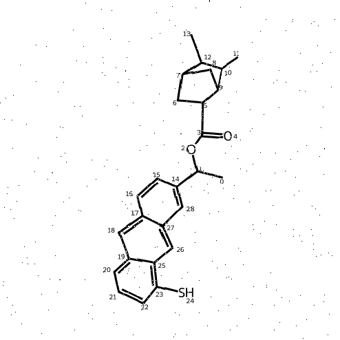 CC(OC(=O)C1CC2CC1C(C)C2C)c1ccc2cc3cccc(S)c3cc2c1